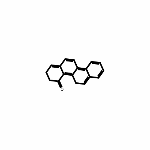 O=C1CCC=c2ccc3c(c21)CC=c1ccccc1=3